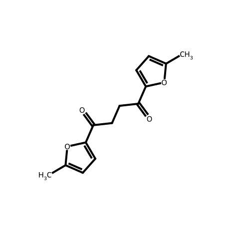 Cc1ccc(C(=O)CCC(=O)c2ccc(C)o2)o1